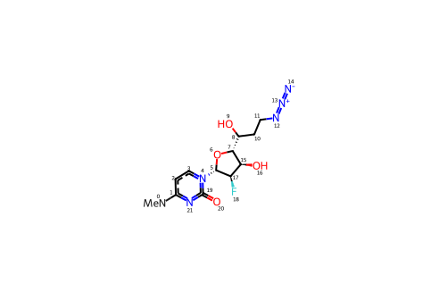 CNc1ccn([C@@H]2O[C@H](C(O)CCN=[N+]=[N-])[C@@H](O)[C@H]2F)c(=O)n1